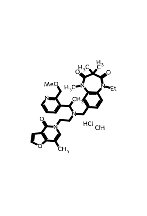 CCN1C(=O)C(C)(C)C(=O)N(C)c2cc(CN(CCn3cc(C)c4occc4c3=O)C(C)c3cccnc3COC)ccc21.Cl.Cl